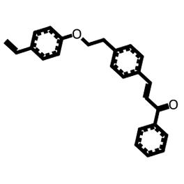 C=Cc1ccc(OCCc2ccc(C=CC(=O)c3ccccc3)cc2)cc1